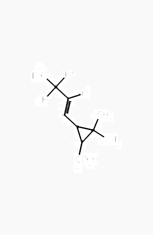 CC1(C)C(/C=C(\Cl)C(F)(F)C(F)(F)F)C1C(=O)O